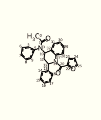 CC(=O)N(c1ccccc1)C1CC(c2ccccc2)N(C(=O)c2ccco2)c2ccccc21